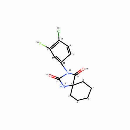 O=C1NC2(CCCCC2)C(=O)N1c1ccc(Cl)c(F)c1